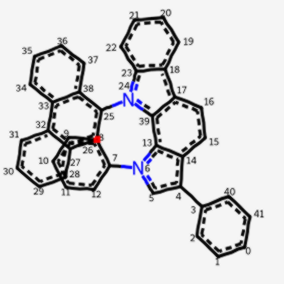 c1ccc(-c2cn(-c3ccccc3)c3c2ccc2c4ccccc4n(-c4cc5ccccc5c5ccccc45)c23)cc1